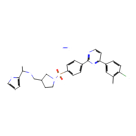 Cc1cc(-c2ccnc(-c3ccc(S(=O)(=O)N4CCC(CNC(C)c5ccc[nH]5)C4)cc3)n2)ccc1F.NN